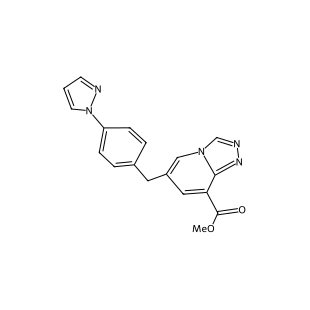 COC(=O)c1cc(Cc2ccc(-n3cccn3)cc2)cn2cnnc12